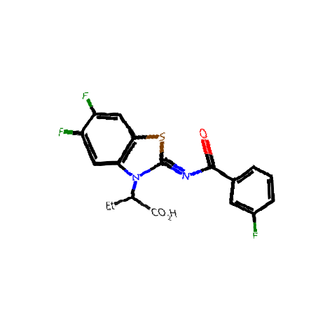 CCC(C(=O)O)n1c(=NC(=O)c2cccc(F)c2)sc2cc(F)c(F)cc21